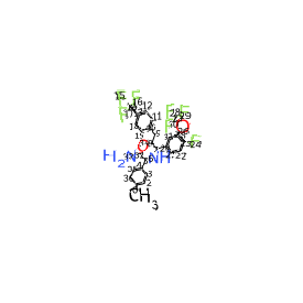 Cc1ccc([C@@H](N[C@@H](CCc2ccc(C(F)(F)F)cc2)c2ccc(F)c(OC(F)(F)F)c2)C(N)=O)cc1